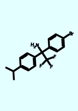 CC(C)c1ccc(C(N)(c2ccc(Br)cc2)C(F)(F)F)cc1